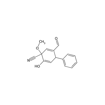 COC1(C#N)C=C(C=O)C(c2ccccc2)C=C1O